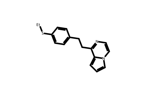 CCSc1ccc(CCc2nccn3cccc23)cc1